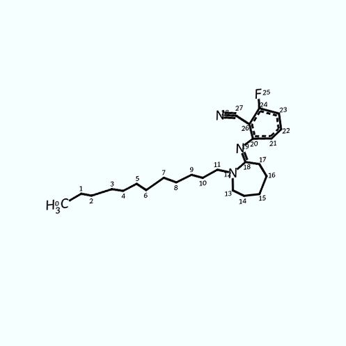 CCCCCCCCCCCCN1CCCCCC1=Nc1cccc(F)c1C#N